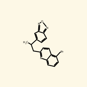 CC(C)c1cccc2nc(CC(C)c3ccc4nonc4c3)ccc12